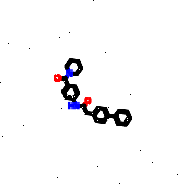 O=C(Cc1ccc(-c2ccccc2)cc1)Nc1ccc(C(=O)N2CCCCC2)cc1